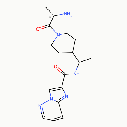 CC(NC(=O)c1cn2ncccc2n1)C1CCN(C(=O)[C@H](C)N)CC1